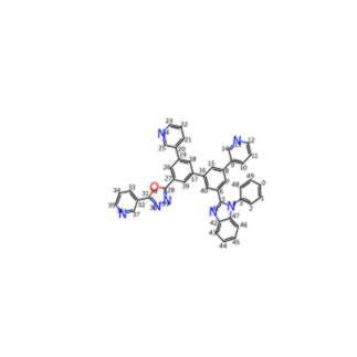 c1ccc(-n2c(-c3cc(-c4cccnc4)cc(-c4cc(-c5cccnc5)cc(-c5nnc(-c6cccnc6)o5)c4)c3)nc3ccccc32)cc1